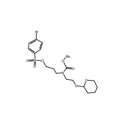 CC(C)(C)OC(=O)N(CCCOS(=O)(=O)c1ccc(Br)cc1)CCOC1CCCCO1